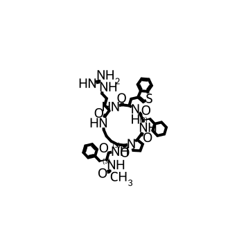 CC(=O)N[C@@H](Cc1ccccc1)C(=O)N[C@H]1CCCNC(=O)C(CCCNC(=N)N)NC(=O)C(Cc2csc3ccccc23)NC(=O)[C@@H](CC2CCCCC2)NC(=O)C2CCCN2C1=O